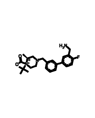 C[C@H]1CN(Cc2cccc(-c3ccc(F)c(CN)c3)c2)CC[N+]1(C(=O)[O-])C(C)(C)C